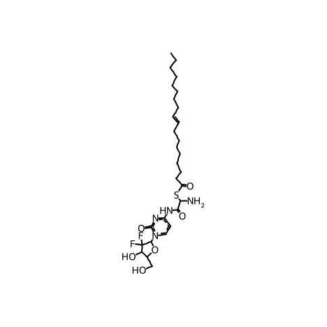 CCCCCCCC/C=C/CCCCCCCC(=O)SC(N)C(=O)Nc1ccn(C2OC(CO)C(O)C2(F)F)c(=O)n1